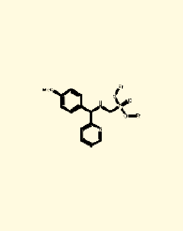 CCOP(=O)(CNC(c1ccc(OC)cc1)c1ccccn1)OCC